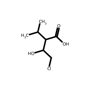 CC(C)C(C(=O)O)C(O)CCl